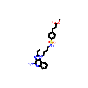 CCc1nc2c(N)nc3ccccc3c2n1CCCCNS(=O)(=O)c1ccc(CCC(=O)OC)cc1